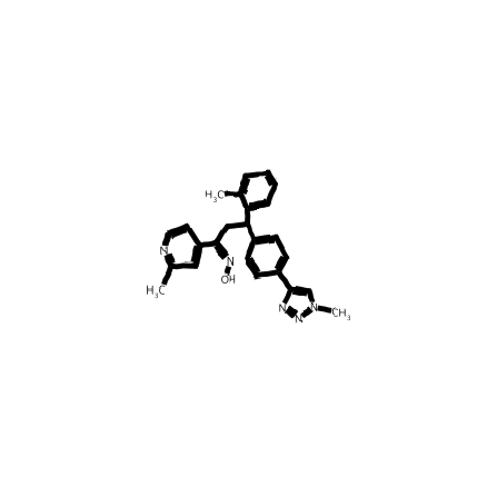 Cc1cc(C(CC(c2ccc(-c3cn(C)nn3)cc2)c2ccccc2C)=NO)ccn1